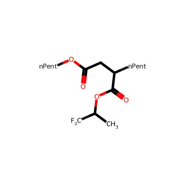 CCCCCOC(=O)CC(CCCCC)C(=O)OC(C)C(F)(F)F